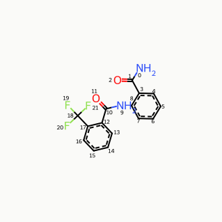 NC(=O)c1ccccc1.NC(=O)c1ccccc1C(F)(F)F